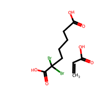 C=CC(=O)O.O=C(O)CCCCC(Br)(Br)C(=O)O